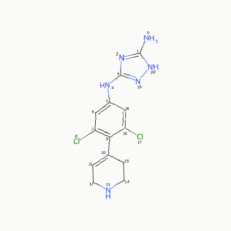 Nc1nc(Nc2cc(Cl)c(C3=CCNCC3)c(Cl)c2)n[nH]1